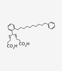 O=C(O)CCSC(SCCC(=O)O)c1ccccc1CCCCCCCCCCc1ccccc1